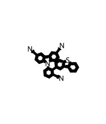 N#Cc1ccc2c(c1)c1cc(C#N)ccc1n2-c1cccc(C#N)c1-c1ccc2sc3ccccc3c2c1